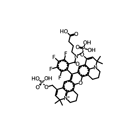 CN(CCCC(=O)O)C(=O)c1c(F)c(F)c(F)c(F)c1C1=c2cc3c4c(c2Oc2c1cc1c5c2CCCN5C(C)(C)C=C1OP(=O)(O)O)CCC[N+]=4C(C)(C)C=C3COP(=O)(O)O